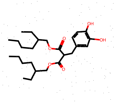 CCCCC(CC)COC(=O)C(Cc1ccc(O)c(O)c1)C(=O)OCC(CC)CCCC